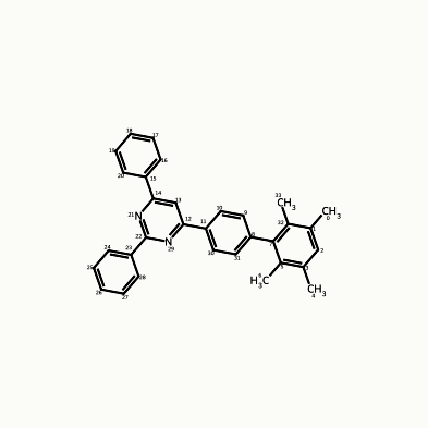 Cc1cc(C)c(C)c(-c2ccc(-c3cc(-c4ccccc4)nc(-c4ccccc4)n3)cc2)c1C